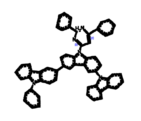 N/C(=C\C(=N/Cc1ccccc1)n1c2ccc(-c3ccc4c(c3)c3ccccc3n4-c3ccccc3)cc2c2cc(-n3c4ccccc4c4ccccc43)ccc21)c1ccccc1